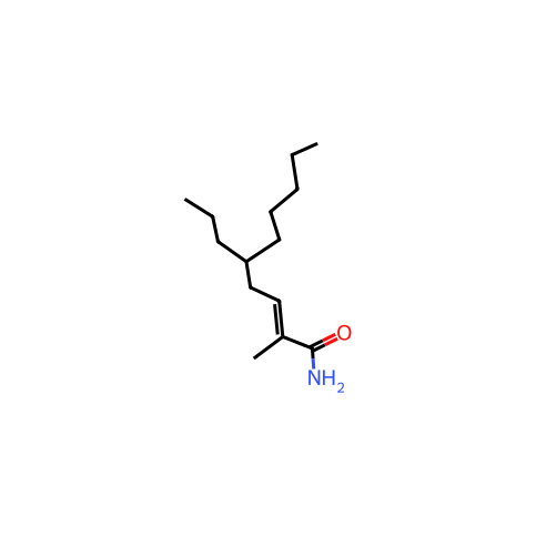 CCCCCC(C/C=C(\C)C(N)=O)CCC